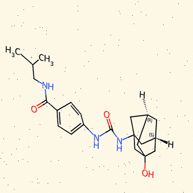 CC(C)CNC(=O)c1ccc(NC(=O)NC23C[C@@H]4C[C@@H](CC(O)(C4)C2)C3)cc1